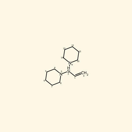 C=C[SiH](N1CCCCC1)N1CCCCC1